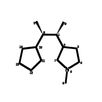 C[C@H](C1CCN(C)C1)[C@@H](C)C1CCCC1